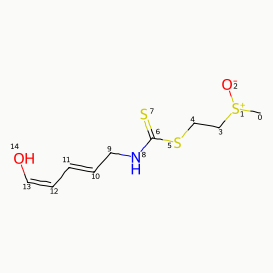 C[S+]([O-])CCSC(=S)NC/C=C/C=C\O